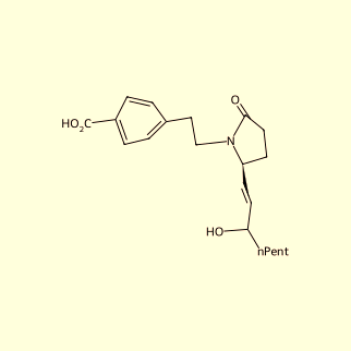 CCCCCC(O)C=C[C@@H]1CCC(=O)N1CCc1ccc(C(=O)O)cc1